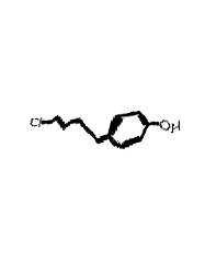 Oc1ccc(CCCCCl)cc1